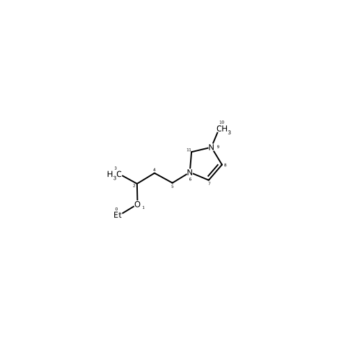 CCOC(C)CCN1C=CN(C)C1